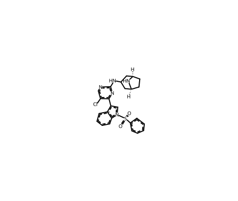 O=S(=O)(c1ccccc1)n1cc(-c2nc(NC3C[C@H]4CC[C@@H](C3)N4)ncc2Cl)c2ccccc21